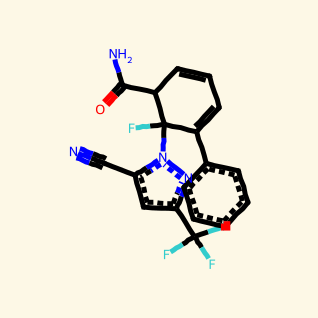 N#Cc1cc(C(F)(F)F)nn1C1(F)C(c2ccccc2)=CC=CC1C(N)=O